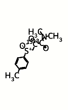 Cc1ccc([S@+]([O-])C[13C](=O)[13C](=O)N(C)C)cc1